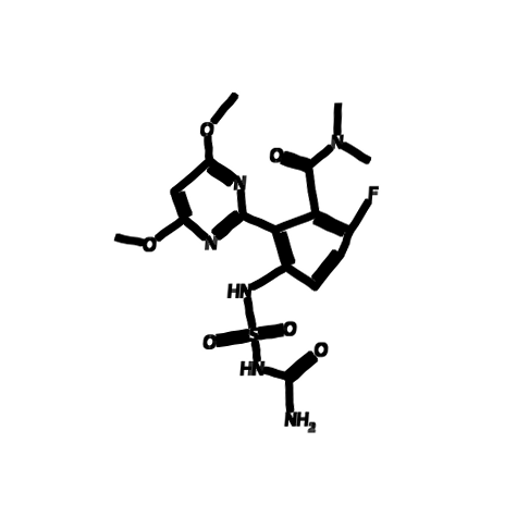 COc1cc(OC)nc(-c2c(NS(=O)(=O)NC(N)=O)ccc(F)c2C(=O)N(C)C)n1